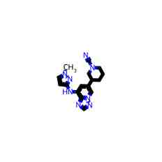 Cn1ccc(Nc2cc(C3CCCN(C#N)C3)cn3ncnc23)n1